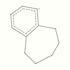 [c]1cccc2c1CCCCC2